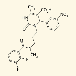 CC1=C(C(=O)O)C(c2cccc([N+](=O)[O-])c2)N(CCCN(C)C(=O)c2cccc(F)c2F)C(=O)N1